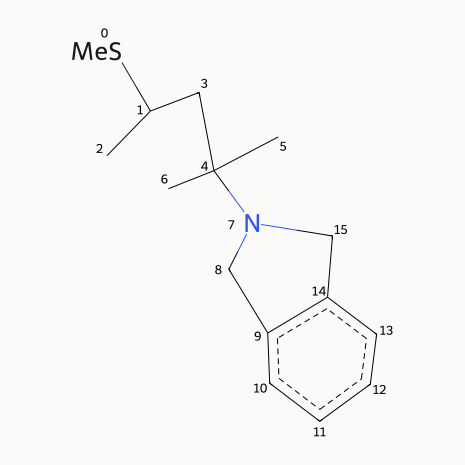 CSC(C)CC(C)(C)N1Cc2ccccc2C1